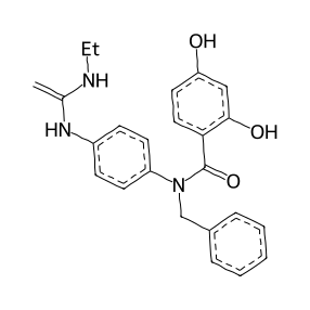 C=C(NCC)Nc1ccc(N(Cc2ccccc2)C(=O)c2ccc(O)cc2O)cc1